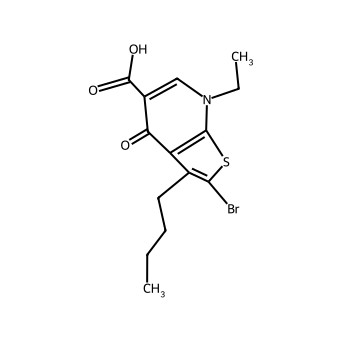 CCCCc1c(Br)sc2c1c(=O)c(C(=O)O)cn2CC